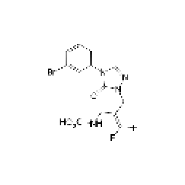 O=C(O)NCC(Cn1ncn(-c2cccc(Br)c2)c1=O)=C(F)F